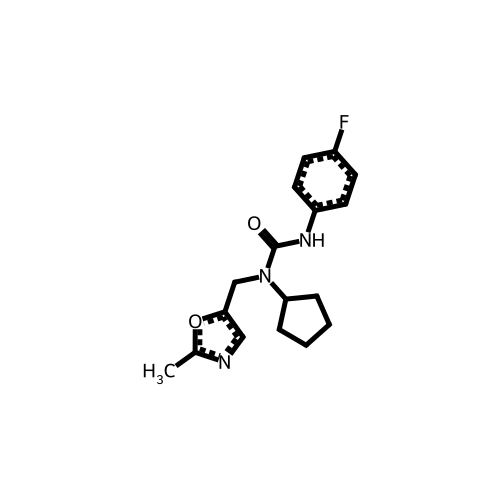 Cc1ncc(CN(C(=O)Nc2ccc(F)cc2)C2CCCC2)o1